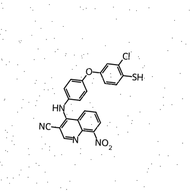 N#Cc1cnc2c([N+](=O)[O-])cccc2c1Nc1ccc(Oc2ccc(S)c(Cl)c2)cc1